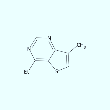 CCc1ncnc2c(C)csc12